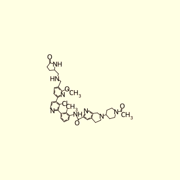 COc1nc(-c2ccnc(-c3cccc(NC(=O)c4cc5c(cn4)CN(C4CCN(C(C)=O)CC4)CC5)c3C)c2Cl)ccc1CNCC1CCC(=O)N1